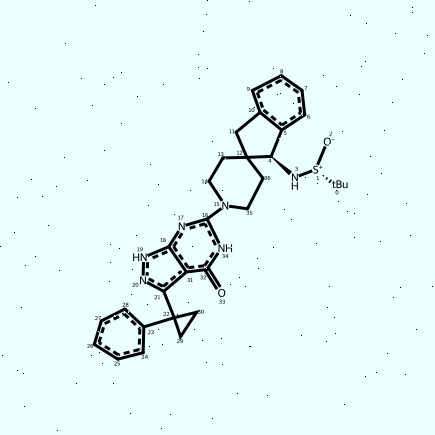 CC(C)(C)[S@@+]([O-])N[C@@H]1c2ccccc2CC12CCN(c1nc3[nH]nc(C4(c5ccccc5)CC4)c3c(=O)[nH]1)CC2